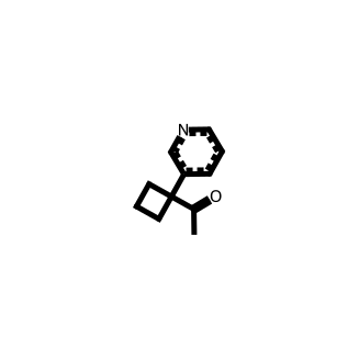 CC(=O)C1(c2cccnc2)CCC1